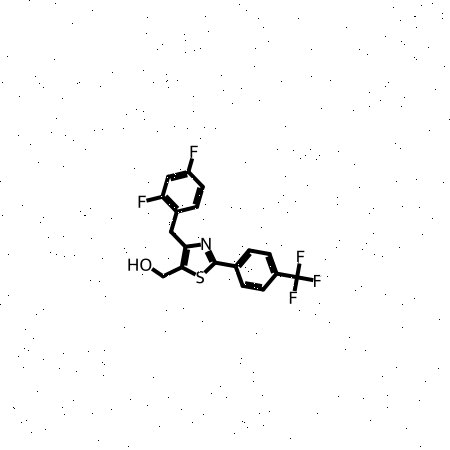 OCc1sc(-c2ccc(C(F)(F)F)cc2)nc1Cc1ccc(F)cc1F